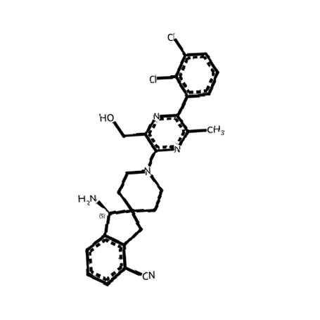 Cc1nc(N2CCC3(CC2)Cc2c(C#N)cccc2[C@H]3N)c(CO)nc1-c1cccc(Cl)c1Cl